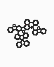 c1ccc(-c2ccccc2N(c2ccc3c(c2)oc2c(-c4cccc5c4-c4ccccc4C5(c4ccccc4)c4ccccc4)c4c(cc23)oc2ccccc24)c2cccc3c2oc2ccccc23)cc1